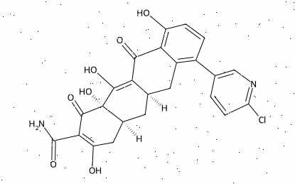 NC(=O)C1=C(O)C[C@@H]2C[C@@H]3Cc4c(-c5ccc(Cl)nc5)ccc(O)c4C(=O)C3=C(O)[C@]2(O)C1=O